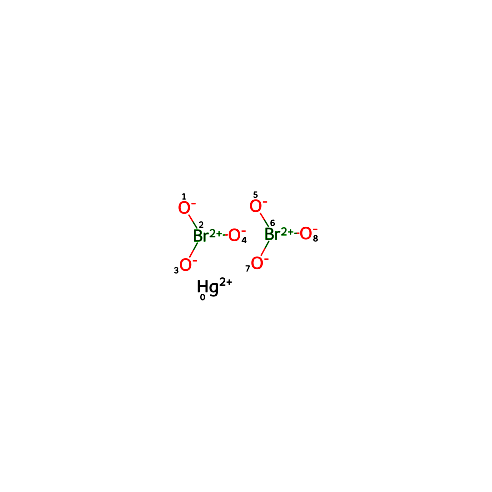 [Hg+2].[O-][Br+2]([O-])[O-].[O-][Br+2]([O-])[O-]